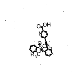 Cc1ccccc1S(C)(=O)=Nc1ccccc1C#Cc1ccc(C(=O)O)nc1